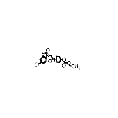 CCOC(=O)OC1CCN(C(=O)Cn2c(=O)sc3cc(Cl)ccc32)CC1